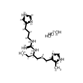 CC[C@H](CSCc1nc[nH]c1C)NC(=N)NCCCc1c[nH]cn1.Cl.Cl.Cl